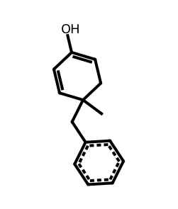 CC1(Cc2ccccc2)C=CC(O)=CC1